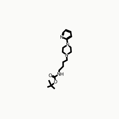 CC(C)(C)OC(=O)NCCCCN1CCN(c2ccccn2)CC1